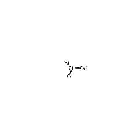 I.[O-][Cl+]O